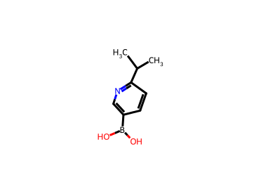 CC(C)c1ccc(B(O)O)cn1